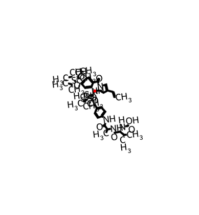 CC=CC1=CN(C(=O)c2cc(OC)c(O[Si](C(C)C)(C(C)C)C(C)C)cc2NC(=O)OCc2ccc(NC(=O)C(C)NC(=O)C(NC(=O)O)C(C)C)cc2)C(CO[Si](C)(C)C(C)(C)C)C1